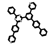 c1ccc(-c2ccc(-c3cc(-c4cccnc4)cc(-c4nc(-c5ccccc5)nc(-c5ccc(-c6ccncc6)cc5)n4)c3)cc2)cc1